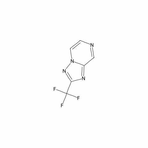 FC(F)(F)c1nc2cnccn2n1